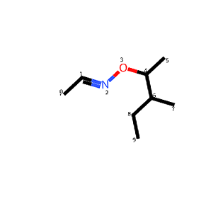 [CH2]C=NOC(C)C(C)CC